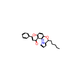 CCCCCC(Oc1ccc2oc(-c3ccccc3)cc(=O)c2c1)c1ccc[nH]1